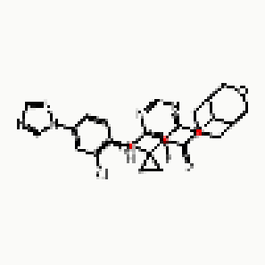 CC1(OC(=O)N2CC3COCC(C2)C3Oc2ncnc(Nc3ccc(-n4cncn4)cc3Cl)c2F)CC1